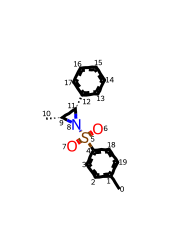 Cc1ccc(S(=O)(=O)N2[C@H](C)[C@@H]2c2ccccc2)cc1